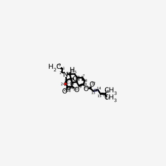 C=CCN1[C@@H]2CC3C=CC(OC(=O)/C=C/C=C(C)C)=C4O[C@H]5C(=O)CC16C[C@@]5(C43)[C@]26O